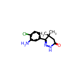 CC1(C)CC(=O)NN=C1c1ccc(Cl)c(N)c1